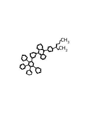 C=C/C(=C\CCC)c1ccc(-c2c3ccccc3c(-c3cccc(-c4cc(-c5ccccc5)c(C5=CCCC=C5)c(-c5ccccc5)c4-c4ccccc4)c3)c3ccccc23)cc1